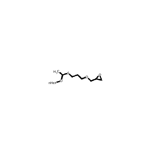 CCCCCCOC(C)SCCCOCC1CO1